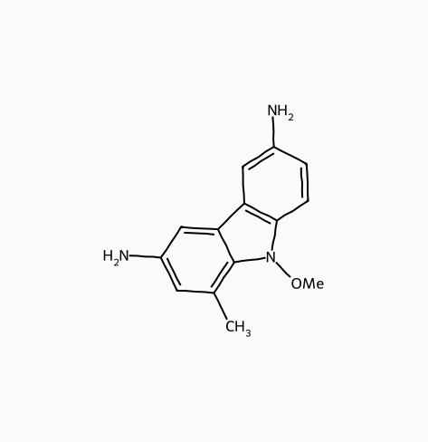 COn1c2ccc(N)cc2c2cc(N)cc(C)c21